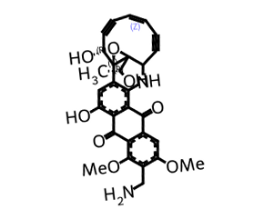 COc1cc2c(c(OC)c1CN)C(=O)c1c(O)cc3c(c1C2=O)NC1C#C/C=C\C#C[C@@H](O)[C@@]32OC12[C@@H](C)O